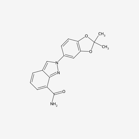 CC1(C)Oc2ccc(-n3cc4cccc(C(N)=O)c4n3)cc2O1